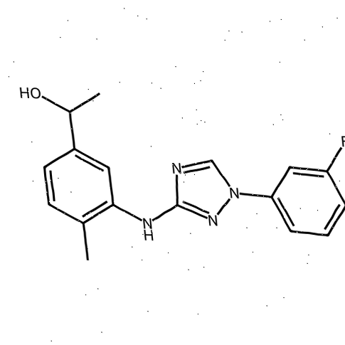 Cc1ccc(C(C)O)cc1Nc1ncn(-c2cccc(F)c2)n1